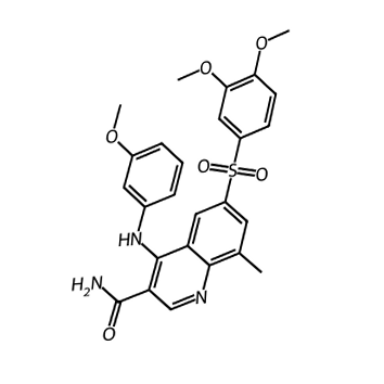 COc1cccc(Nc2c(C(N)=O)cnc3c(C)cc(S(=O)(=O)c4ccc(OC)c(OC)c4)cc23)c1